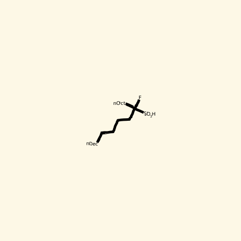 CCCCCCCCCCCCCCC(F)(CCCCCCCC)S(=O)(=O)O